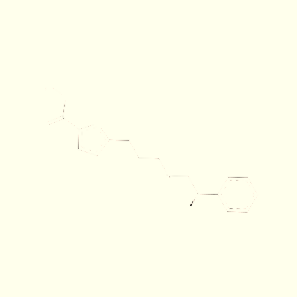 COC(=O)c1ccc(CCCNC[C@H](O)c2ccccc2)s1